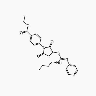 CCCCN/C(=N\c1ccccc1)SC1CC(=O)N(c2ccc(C(=O)OCC)cc2)C1=O